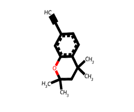 C#Cc1ccc2c(c1)OC(C)(C)CC2(C)C